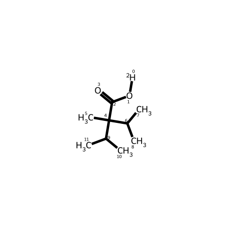 [2H]OC(=O)C(C)(C(C)C)C(C)C